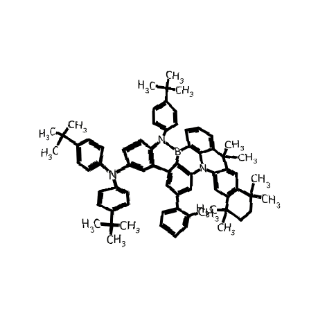 Cc1ccccc1-c1cc2c3c(c1)N1c4cc5c(cc4C(C)(C)c4cccc(c41)B3N(c1ccc(C(C)(C)C)cc1)c1ccc(N(c3ccc(C(C)(C)C)cc3)c3ccc(C(C)(C)C)cc3)cc1-2)C(C)(C)CCC5(C)C